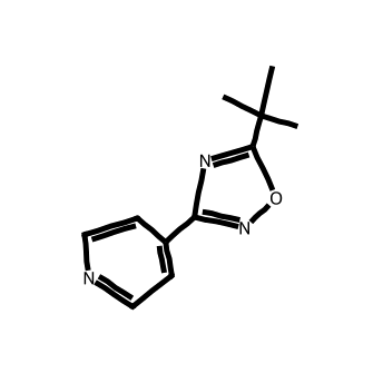 CC(C)(C)c1nc(-c2ccncc2)no1